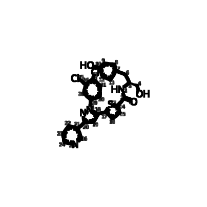 O=C(N[C@H](CO)Cc1ccc(O)cc1)c1ccc(-c2cc(-c3cccnc3)nn2-c2ccc(Cl)c(Cl)c2)s1